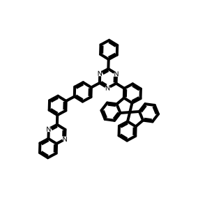 c1ccc(-c2nc(-c3ccc(-c4cccc(-c5cnc6ccccc6n5)c4)cc3)nc(-c3cccc4c3-c3ccccc3C43c4ccccc4-c4ccccc43)n2)cc1